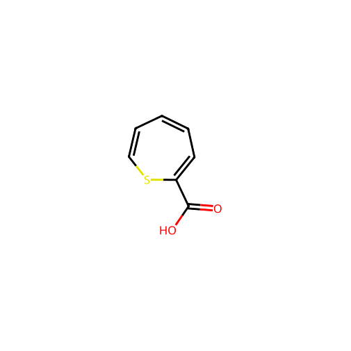 O=C(O)C1=CC=CC=CS1